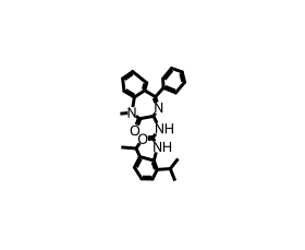 CC(C)c1cccc(C(C)C)c1NC(=O)NC1N=C(c2ccccc2)c2ccccc2N(C)C1=O